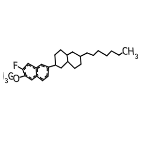 CCCCCCCC1CCC2CC(c3ccc4cc(OC)c(F)cc4c3)CCC2C1